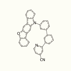 N#Cc1ccnc(-c2cccc(-c3cccc(-n4c5ccccc5c5cc6oc7ccccc7c6cc54)c3)c2)c1